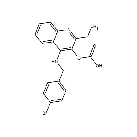 CCc1nc2ccccc2c(NCc2ccc(Br)cc2)c1OC(=O)O